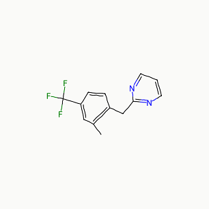 Cc1cc(C(F)(F)F)ccc1Cc1ncccn1